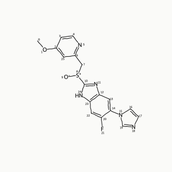 COc1ccnc(C[S+]([O-])c2nc3cc(-n4ccnc4)c(F)cc3[nH]2)c1